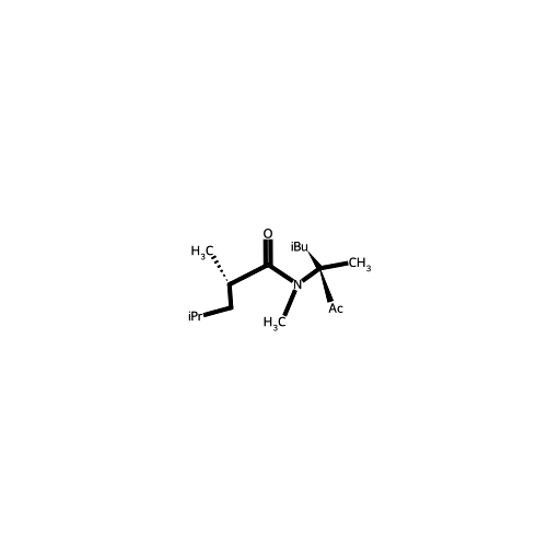 CC[C@H](C)[C@@](C)(C(C)=O)N(C)C(=O)[C@@H](C)CC(C)C